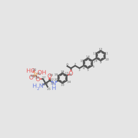 CC(CCc1ccc(-c2ccccc2)cc1)Oc1ccc(NC(=O)C(C)(N)COP(=O)(O)O)cc1